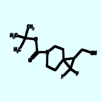 CC(C)(C)OC(=O)N1CCC2(CC1)C(CO)C2(F)F